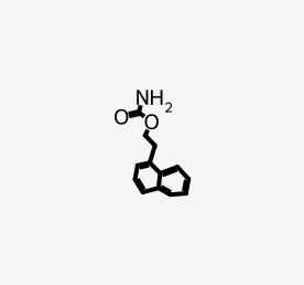 NC(=O)OCCc1cccc2ccccc12